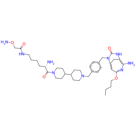 CCCCOC1=NC(N)=C2CC(=C1)N(Cc1ccc(CN3CCC(C4CCN(C(=O)[C@@H](N)CCCCNC(=O)CON)CC4)CC3)cc1)C(=O)N2